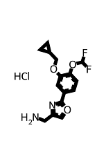 Cl.NCc1coc(-c2ccc(OC(F)F)c(OCC3CC3)c2)n1